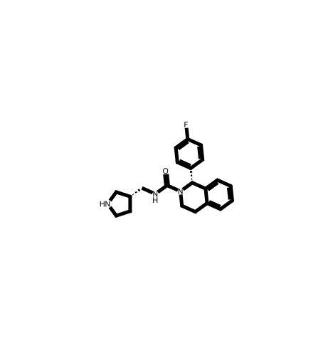 O=C(NC[C@@H]1CCNC1)N1CCc2ccccc2[C@H]1c1ccc(F)cc1